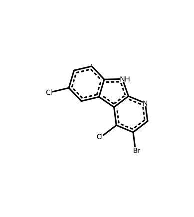 Clc1c[c]c2[nH]c3ncc(Br)c(Cl)c3c2c1